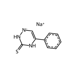 S=C1N[N-]C=C(c2ccccc2)N1.[Na+]